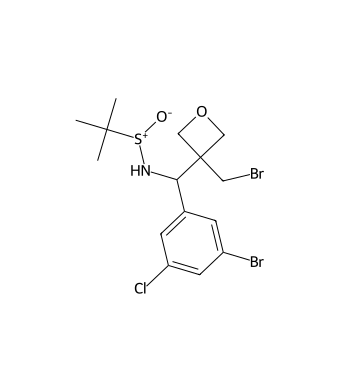 CC(C)(C)[S+]([O-])NC(c1cc(Cl)cc(Br)c1)C1(CBr)COC1